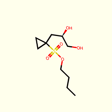 CCCCOS(=O)(=O)C1(C[C@@H](O)CO)CC1